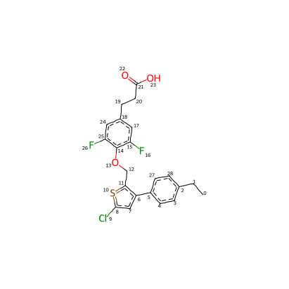 CCc1ccc(-c2cc(Cl)sc2COc2c(F)cc(CCC(=O)O)cc2F)cc1